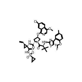 C=C[C@@H]1C[C@]1(NC(=O)[C@@H]1C[C@@H](Oc2ncc(OC)c3ccc(Cl)cc23)CN1C(=O)[C@@H](Nc1nc(-c2cc(C)ccc2OC(F)F)cs1)C(C)(C)C)C(=O)NS(=O)(=O)C1CC1